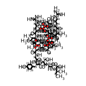 CC[C@H](C)[C@H](NC(=O)CNC(=O)[C@H](CO)NC(=O)[C@H](Cc1ccc(O)cc1)NC(=O)CNC(=O)[C@H](CCC(N)=O)NC(=O)[C@H](CC(C)C)NC(=O)[C@H](CC(C)C)NC(=O)[C@@H](NC(=O)[C@H](CC(N)=O)NC(=O)[C@@H](NC(=O)[C@H](CCCNC(=N)N)NC(=O)[C@@H](NC(=O)[C@@H](N(C)C(=O)[C@H](C)NC(=O)[C@H](C)NC(=O)[C@H](CCCNC(=N)N)NC(=O)[C@@H](NC(=O)[C@H](C)N)[C@@H](C)O)C(C)(C)C)C(C)C)[C@@H](C)CC)[C@@H](C)O)C(=O)O